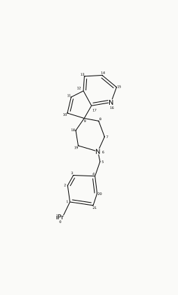 CC(C)c1ccc(CN2CCC3(C=Cc4cccnc43)CC2)cc1